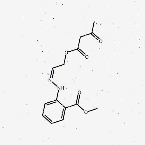 COC(=O)c1ccccc1N/N=C\COC(=O)CC(C)=O